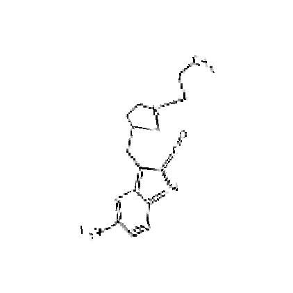 CCCN1CCC(CC2=c3cc(N)ccc3=NC2=C=O)C1